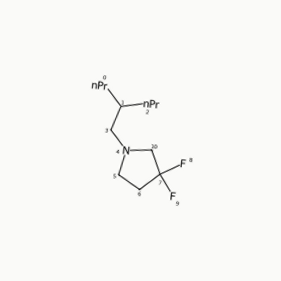 CCCC(CCC)CN1CCC(F)(F)C1